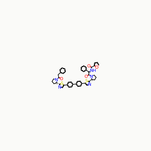 O=C(N[C@@H](C(=O)N1CCC[C@H]1c1ncc(-c2ccc(-c3ccc(-c4cnc([C@@H]5CCCN5C(=O)Cc5ccccc5)s4)cc3)cc2)s1)c1ccccc1)c1ccco1